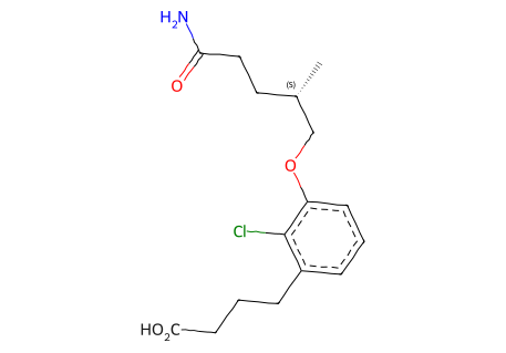 C[C@@H](CCC(N)=O)COc1cccc(CCCC(=O)O)c1Cl